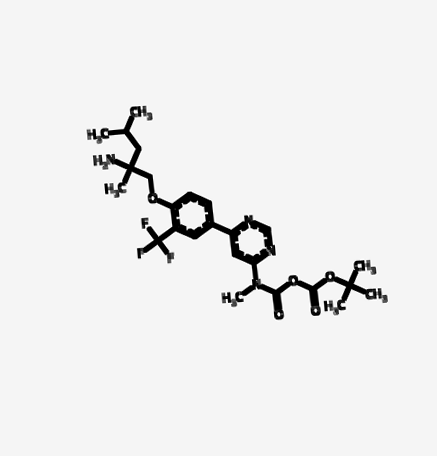 CC(C)CC(C)(N)COc1ccc(-c2cc(N(C)C(=O)OC(=O)OC(C)(C)C)ncn2)cc1C(F)(F)F